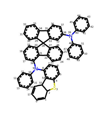 C1=CC2Sc3cccc(N(c4ccccc4)c4cccc5c4-c4ccccc4C54c5ccccc5-c5ccc(N(c6ccccc6)c6ccccc6)cc54)c3C2C=C1